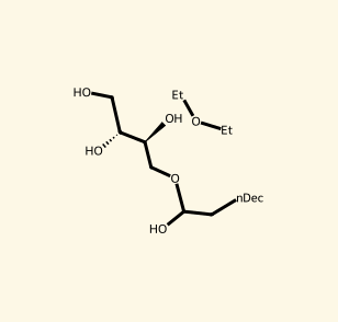 CCCCCCCCCCCC(O)OC[C@H](O)[C@H](O)CO.CCOCC